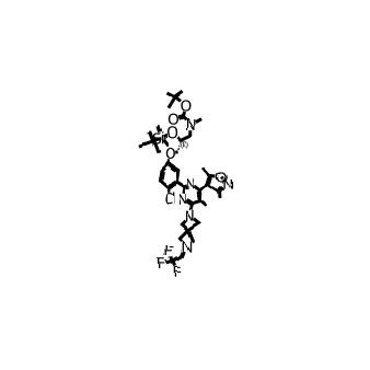 Cc1noc(C)c1-c1nc(-c2cc(OC[C@@H](CN(C)C(=O)OC(C)(C)C)O[Si](C)(C)C(C)(C)C)ccc2Cl)nc(N2CC3(CN(CC(F)(F)F)C3)C2)c1C